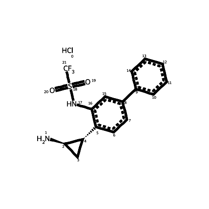 Cl.N[C@@H]1C[C@H]1c1ccc(-c2ccccc2)cc1NS(=O)(=O)C(F)(F)F